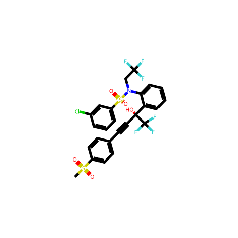 CS(=O)(=O)c1ccc(C#CC(O)(c2ccccc2N(CC(F)(F)F)S(=O)(=O)c2cccc(Cl)c2)C(F)(F)F)cc1